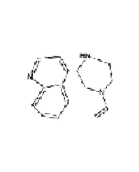 C=CN1CCNCC1.c1ccc2ncccc2c1